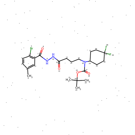 Cc1ccc(Br)c(C(=O)NNC(=O)CCCN(C(=O)OC(C)(C)C)C2CCC(F)(F)CC2)c1